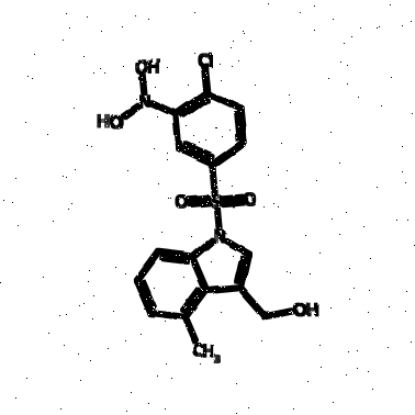 Cc1cccc2c1c(CO)cn2S(=O)(=O)c1ccc(Cl)c(N(O)O)c1